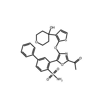 CC(=O)c1nc(Oc2sccc2C2(O)CCOCC2)c(-c2cc(-c3ccccc3)ccc2S(N)(=O)=O)o1